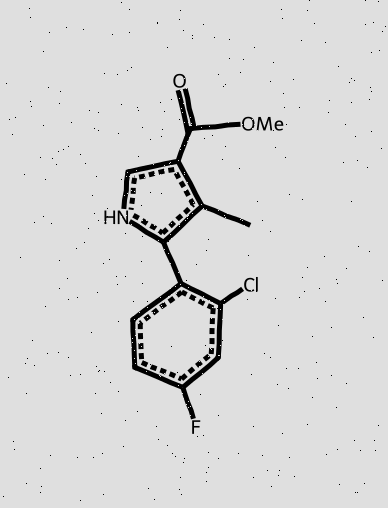 COC(=O)c1c[nH]c(-c2ccc(F)cc2Cl)c1C